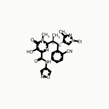 CCn1cc([C@H](c2ccccc2C#N)[C@H](C)c2nc(C(=O)Nc3cnoc3)c(O)c(=O)n2C)c(C)n1